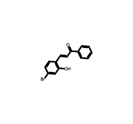 O=C(C=Cc1ccc(Br)cc1O)c1ccccc1